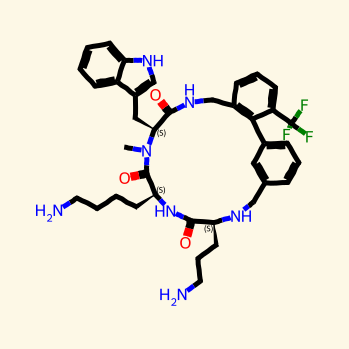 CN1C(=O)[C@H](CCCCN)NC(=O)[C@H](CCCN)NCc2cccc(c2)-c2c(cccc2C(F)(F)F)CNC(=O)[C@@H]1Cc1c[nH]c2ccccc12